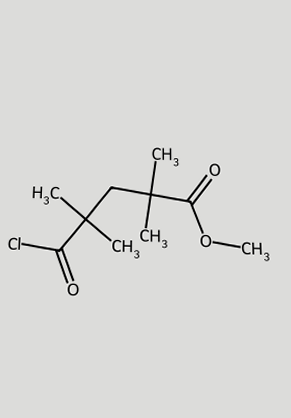 COC(=O)C(C)(C)CC(C)(C)C(=O)Cl